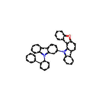 c1ccc(-c2ccccc2-n2c3ccccc3c3ccc(-n4c5ccccc5c5ccc6oc7ccccc7c6c54)cc32)cc1